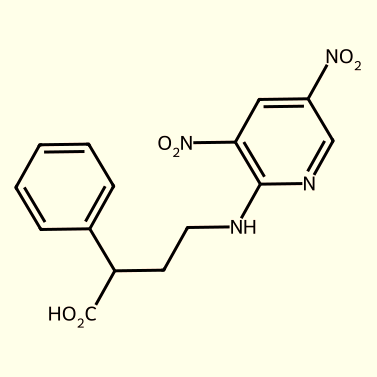 O=C(O)C(CCNc1ncc([N+](=O)[O-])cc1[N+](=O)[O-])c1ccccc1